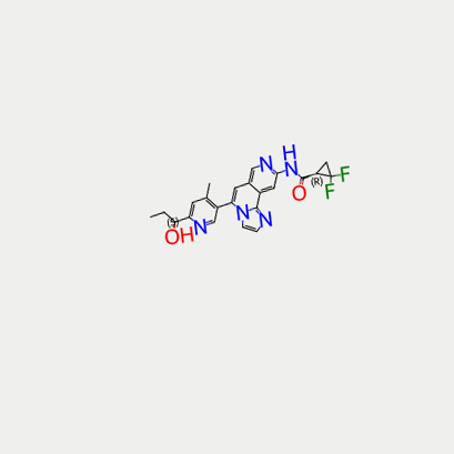 CC[C@H](O)c1cc(C)c(-c2cc3cnc(NC(=O)[C@H]4CC4(F)F)cc3c3nccn23)cn1